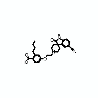 CCCCc1cc(OCCN2CCC3(CC2)C(=O)N(C)c2ccc(C#N)cc23)ccc1C(=O)O